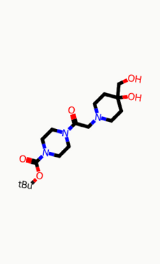 CC(C)(C)OC(=O)N1CCN(C(=O)CN2CCC(O)(CO)CC2)CC1